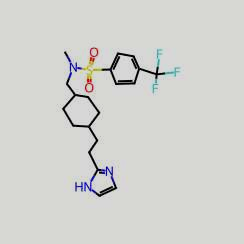 CN(CC1CCC(CCc2ncc[nH]2)CC1)S(=O)(=O)c1ccc(C(F)(F)F)cc1